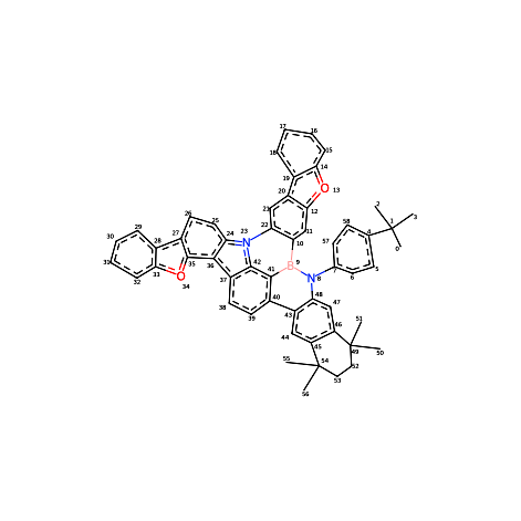 CC(C)(C)c1ccc(N2B3c4cc5oc6ccccc6c5cc4-n4c5ccc6c7ccccc7oc6c5c5ccc(c3c54)-c3cc4c(cc32)C(C)(C)CCC4(C)C)cc1